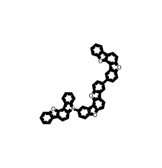 c1ccc2c(c1)oc1c2ccc2oc3ccc(-c4ccc5oc6c(ccc7oc8ccc(-n9c%10ccccc%10c%10c%11oc%12ccccc%12c%11ccc%109)cc8c76)c5c4)cc3c21